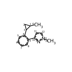 CC1CC1c1ccccc1-c1ccn(C)n1